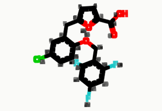 O=C(O)c1ccc(Cc2cc(Cl)ccc2OCc2c(F)cc(F)cc2F)o1